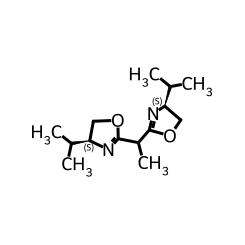 CC(C1=N[C@@H](C(C)C)CO1)C1=N[C@@H](C(C)C)CO1